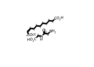 CCCCCCCC/C=C\CCCCCCCC(=O)O.NCC(=O)NCC(=O)O